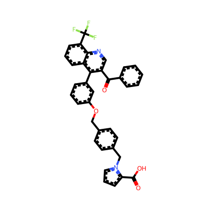 O=C(c1ccccc1)c1cnc2c(C(F)(F)F)cccc2c1-c1cccc(OCc2ccc(Cn3cccc3C(=O)O)cc2)c1